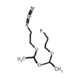 CC(OCCF)OC(C)OCCN=[N+]=[N-]